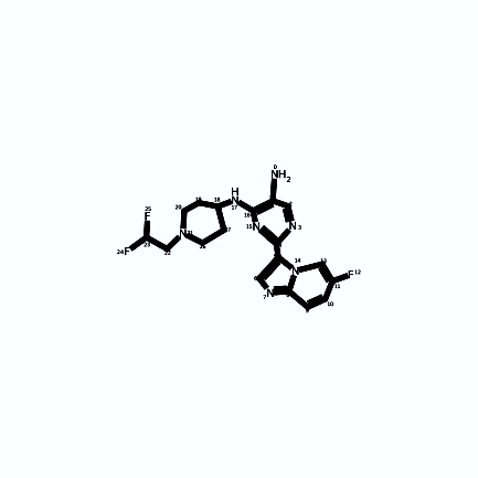 Nc1cnc(-c2cnc3ccc(F)cn23)nc1NC1CCN(CC(F)F)CC1